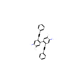 Nc1cc(C#Cc2ccccc2)c(-c2cc([N+](=O)[O-])c(N)cc2C#Cc2ccccc2)cc1[N+](=O)[O-]